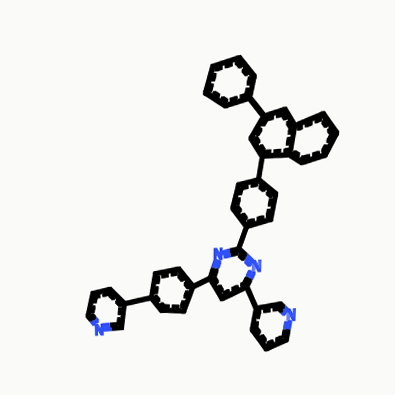 c1ccc(-c2cc(-c3ccc(-c4nc(-c5ccc(-c6cccnc6)cc5)cc(-c5cccnc5)n4)cc3)c3ccccc3c2)cc1